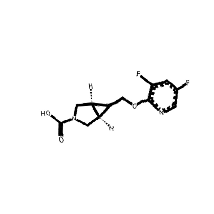 O=C(O)N1C[C@@H]2C(COc3ncc(F)cc3F)[C@@H]2C1